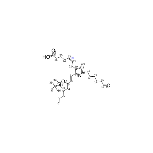 CCCCCC(C=Cc1nn(CCCCCC=O)c(C)c1C/C=C\CCCC(=O)O)O[Si](C)(C)C(C)(C)C